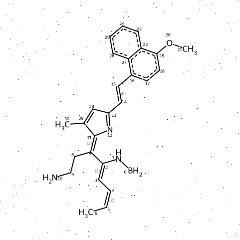 BNC(=C\C=C/C)/C(CCN)=C1N=C(/C=C/c2ccc(OC)c3ccccc23)C=C\1C